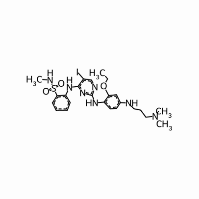 CCOc1cc(NCCCN(C)C)ccc1Nc1ncc(I)c(Nc2ccccc2S(=O)(=O)NC)n1